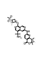 C[C@@H]1[C@H](S(C)(=O)=O)C[C@H]1Oc1ncc(C(C)(C)N)c2cc(Nc3ccc4c(n3)[C@@H](C)C(C)(C)OC4=O)ncc12